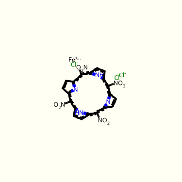 O=[N+]([O-])c1c2nc(c([N+](=O)[O-])c3ccc([nH]3)c([N+](=O)[O-])c3nc(c([N+](=O)[O-])c4ccc1[nH]4)C=C3)C=C2.[Cl-].[Cl-].[Cl-].[Fe+3]